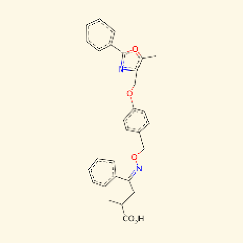 Cc1oc(-c2ccccc2)nc1COc1ccc(CON=C(CC(C)C(=O)O)c2ccccc2)cc1